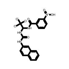 O=C(Nc1ccc2ccccc2c1)NC(NC(=O)c1cccc([N+](=O)O)c1)C(Cl)(Cl)Cl